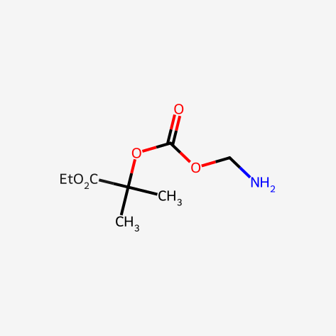 CCOC(=O)C(C)(C)OC(=O)OCN